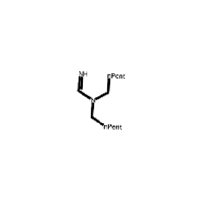 CCCCCCN([C]=N)CCCCCC